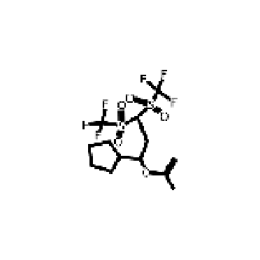 C=C(C)OC(CC(S(=O)(=O)C(F)(F)F)S(=O)(=O)C(F)(F)F)C1CCCC1